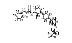 CC(C)(C)C(=O)OCn1cnc(-c2ccc(-c3cccc(CNC4Cc5ccccc5C4)c3F)cc2)n1